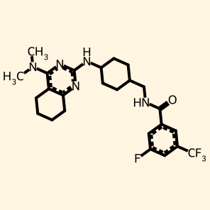 CN(C)c1nc(NC2CCC(CNC(=O)c3cc(F)cc(C(F)(F)F)c3)CC2)nc2c1CCCC2